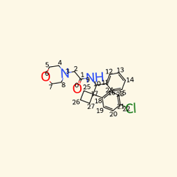 O=C(CN1CCOCC1)NC(c1ccccc1)C1(c2ccc(Cl)cc2)CCC1